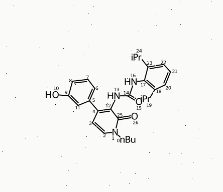 CCCCn1ccc(-c2cccc(O)c2)c(NC(=O)Nc2c(C(C)C)cccc2C(C)C)c1=O